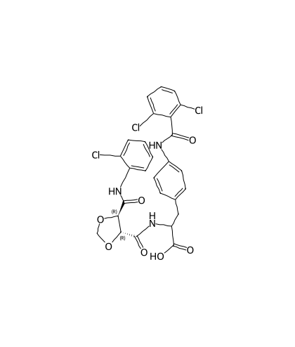 O=C(Nc1ccc(CC(NC(=O)[C@@H]2OCO[C@H]2C(=O)Nc2ccccc2Cl)C(=O)O)cc1)c1c(Cl)cccc1Cl